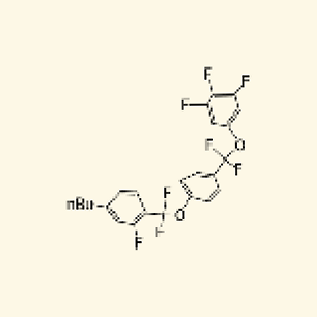 CCCCc1ccc(C(F)(F)Oc2ccc(C(F)(F)Oc3cc(F)c(F)c(F)c3)cc2)c(F)c1